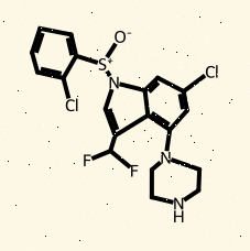 [O-][S+](c1ccccc1Cl)n1cc(C(F)F)c2c(N3CCNCC3)cc(Cl)cc21